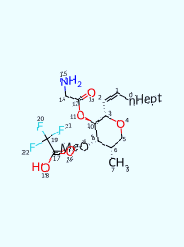 CCCCCCC/C=C\[C@@H]1OC[C@H](C)[C@H](OC)[C@H]1OC(=O)CN.O=C(O)C(F)(F)F